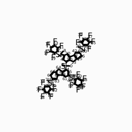 C[Si](C)(c1cc([Si](C)(C)c2c(F)c(F)c(F)c(F)c2F)cc2c1Cc1ccc([Si](C)(C)c3c(F)c(F)c(F)c(F)c3F)cc1-2)c1cc([Si](C)(C)c2c(F)c(F)c(F)c(F)c2F)cc2c1Cc1ccc([Si](C)(C)c3c(F)c(F)c(F)c(F)c3F)cc1-2